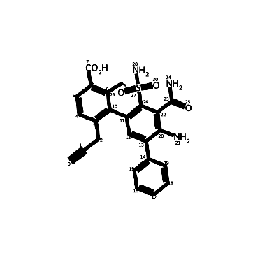 C#CCc1ccc(C(=O)O)c(C)c1-c1cc(-c2ccccc2)c(N)c(C(N)=O)c1S(N)(=O)=O